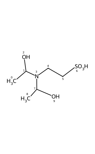 CC(O)N(CCS(=O)(=O)O)C(C)O